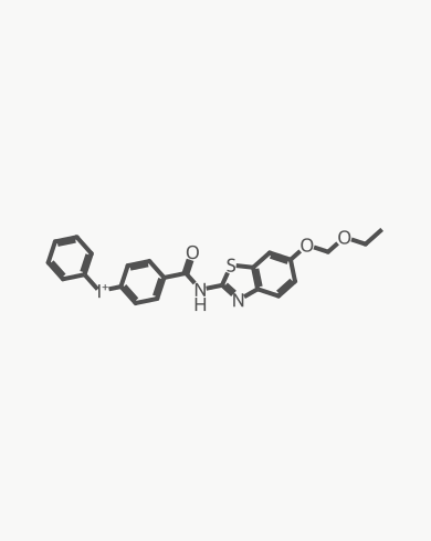 CCOCOc1ccc2nc(NC(=O)c3ccc([I+]c4ccccc4)cc3)sc2c1